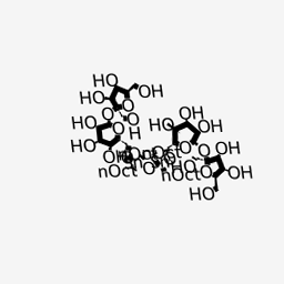 CCCCCCC[CH2][Sn]([CH2]CCCCCCC)([O]C[C@H]1O[C@H](O[C@]2(CO)O[C@H](CO)[C@@H](O)[C@@H]2O)[C@H](O)[C@@H](O)[C@@H]1O)[O][Sn]([CH2]CCCCCCC)([CH2]CCCCCCC)[O]C[C@H]1O[C@H](O[C@]2(CO)O[C@H](CO)[C@@H](O)[C@@H]2O)[C@H](O)[C@@H](O)[C@@H]1O